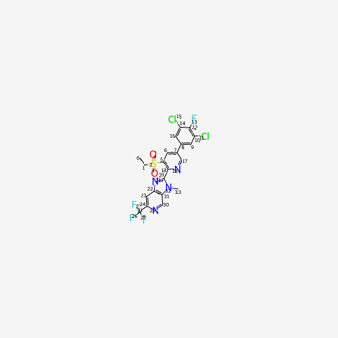 CCS(=O)(=O)c1cc(-c2cc(Cl)c(F)c(Cl)c2)cnc1-c1nc2cc(C(F)(F)F)ncc2n1C